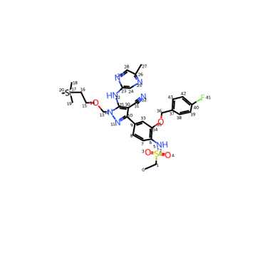 CCS(=O)(=O)Nc1ccc(-c2nn(COCC[Si](C)(C)C)c(Nc3cnc(C)cn3)c2C#N)cc1OCc1ccc(F)cc1